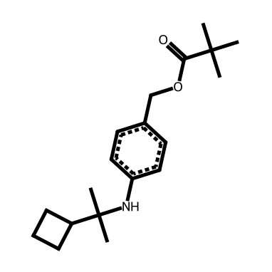 CC(C)(C)C(=O)OCc1ccc(NC(C)(C)C2CCC2)cc1